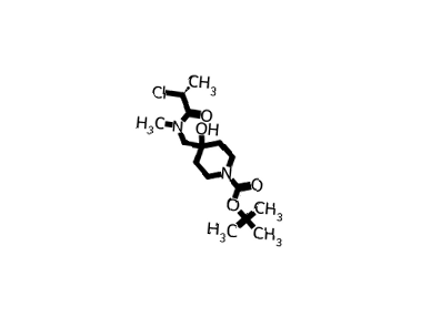 C[C@@H](Cl)C(=O)N(C)CC1(O)CCN(C(=O)OC(C)(C)C)CC1